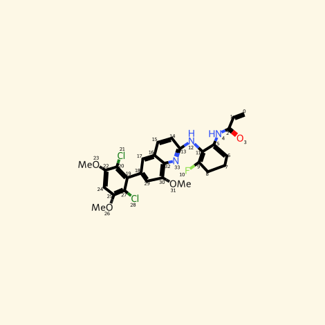 C=CC(=O)NC1=CCCC(F)=C1Nc1ccc2cc(-c3c(Cl)c(OC)cc(OC)c3Cl)cc(OC)c2n1